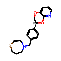 c1cnc2c(c1)OC[C@H](c1ccc(CN3CCCSCC3)cc1)O2